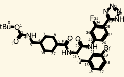 CC(C)(C)OC(=O)NCC1CCC(C(=O)N[C@@H](Cc2cccc(Br)c2)C(=O)Nc2ccc(-c3nnn[nH]3)c(F)c2)CC1